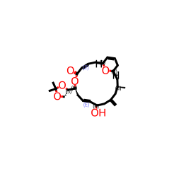 C=C1C[C@H](C)C[C@@H]2CC=C[C@@H](C/C=C\C(=O)O[C@H]([C@@H]3COC(C)(C)O3)C/C=C/[C@H](O)C1)O2